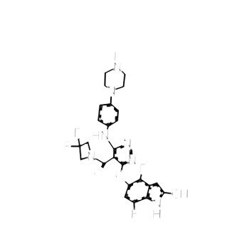 Cc1cc2c(F)c(Oc3ncnc(Nc4ccc(N5CCNCC5)cc4)c3C(=O)N3CC(F)(F)C3)cc(F)c2[nH]1